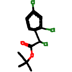 CC(C)(C)OC(=O)C(Cl)c1ccc(Cl)cc1Cl